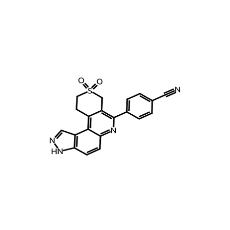 N#Cc1ccc(-c2nc3ccc4[nH]ncc4c3c3c2CS(=O)(=O)CC3)cc1